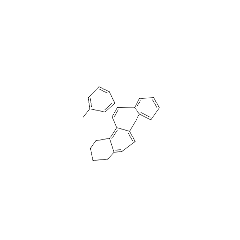 Cc1ccccc1.c1ccc2c(c1)ccc1c3c(ccc12)CCCC3